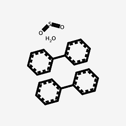 O.O=S=O.c1ccc(-c2ccccc2)cc1.c1ccc(-c2ccccc2)cc1